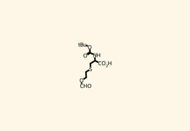 CC(C)(C)OC(=O)NC(CSCCOC=O)C(=O)O